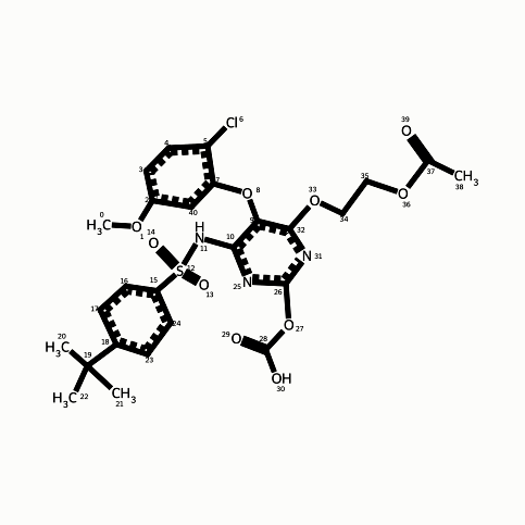 COc1ccc(Cl)c(Oc2c(NS(=O)(=O)c3ccc(C(C)(C)C)cc3)nc(OC(=O)O)nc2OCCOC(C)=O)c1